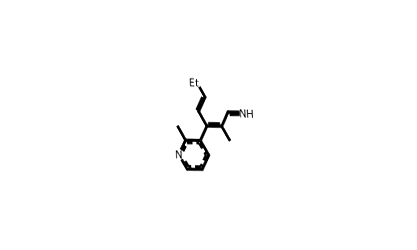 CC/C=C/C(=C(/C)C=N)c1cccnc1C